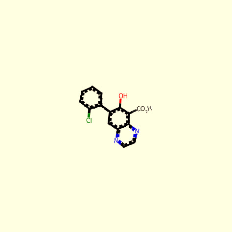 O=C(O)c1c(O)c(-c2ccccc2Cl)cc2nccnc12